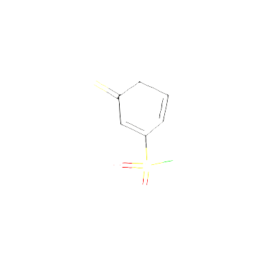 O=S(=O)(Cl)C1=CC(=S)CC=C1